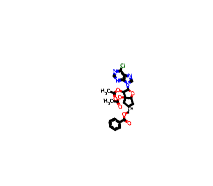 CC(=O)OC1C(n2cnc3c(Cl)ncnc32)OC2C[C@H](COC(=O)c3ccccc3)CC21OC(C)=O